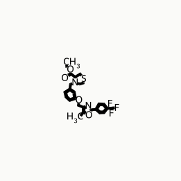 CCOC(=O)C1CSCCN1Cc1cccc(OCc2nc(-c3ccc(C(F)(F)F)cc3)oc2C)c1